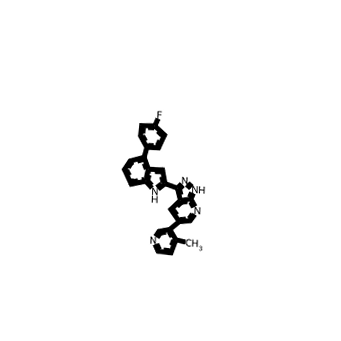 Cc1ccncc1-c1cnc2[nH]nc(-c3cc4c(-c5ccc(F)cc5)cccc4[nH]3)c2c1